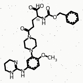 COc1ccc(NC2=NCCCN2)cc1N1CCN(C(=O)CC[C@H](NC(=O)OCc2ccccc2)C(=O)O)CC1